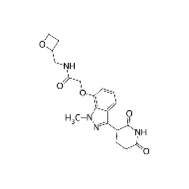 Cn1nc(C2CCC(=O)NC2=O)c2cccc(OCC(=O)NCC3CCO3)c21